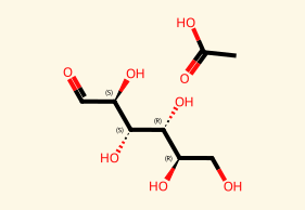 CC(=O)O.O=C[C@@H](O)[C@@H](O)[C@H](O)[C@H](O)CO